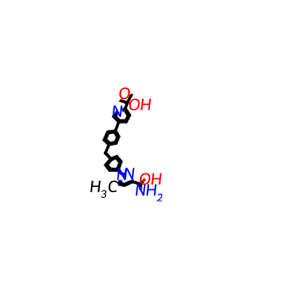 Cc1cc(C(N)O)nn1-c1ccc(Cc2ccc(-c3ccc(C4(O)COC4)nc3)cc2)cc1